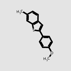 COc1ccc(-c2cc3ccc(C)cc3s2)cc1